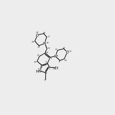 CCc1c(C)[nH]c2c1C(N1CCOCC1)=C(CN1CCOCC1)CC2